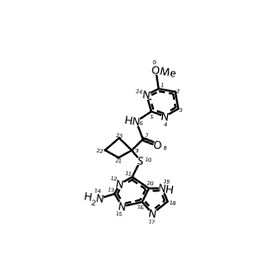 COc1ccnc(NC(=O)C2(Sc3nc(N)nc4nc[nH]c34)CCC2)n1